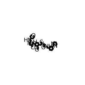 CN(CC(=O)NCc1cccc(-c2ncccn2)c1)Cc1ccc(-c2nc(NC3CCOCC3)ncc2Cl)cc1C=O